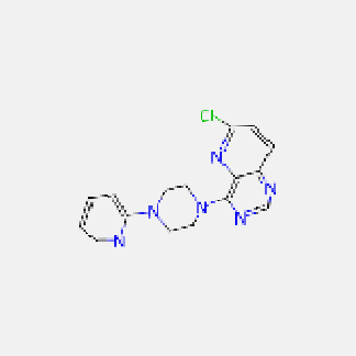 Clc1ccc2ncnc(N3CCN(c4ccccn4)CC3)c2n1